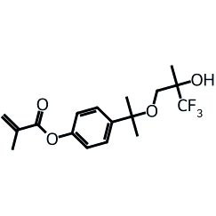 C=C(C)C(=O)Oc1ccc(C(C)(C)OCC(C)(O)C(F)(F)F)cc1